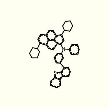 c1ccc(N(c2cccc(-c3cccc4c3sc3ccccc34)c2)c2cc(C3CCCCC3)c3ccc4ccc(C5CCCCC5)c5ccc2c3c45)cc1